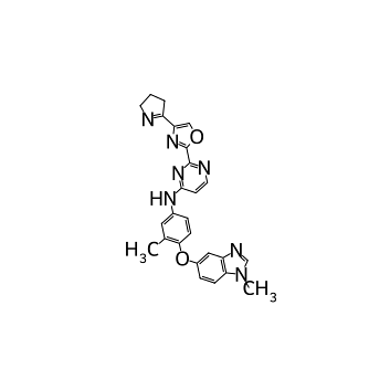 Cc1cc(Nc2ccnc(-c3nc(C4=NCCC4)co3)n2)ccc1Oc1ccc2c(c1)ncn2C